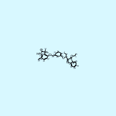 CCOn1c(C(CC)Oc2cccc(COc3ccc(C)c4c3C(C)(C)C(=O)N4)c2)nc2ccccc21